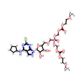 COCCOC(=O)OCOP(=O)(COCC1O[C@@H](n2ncc3c(NC4CCCC4)nc(Cl)nc32)[C@H](O)[C@@H]1O)OCOC(=O)OCCOC